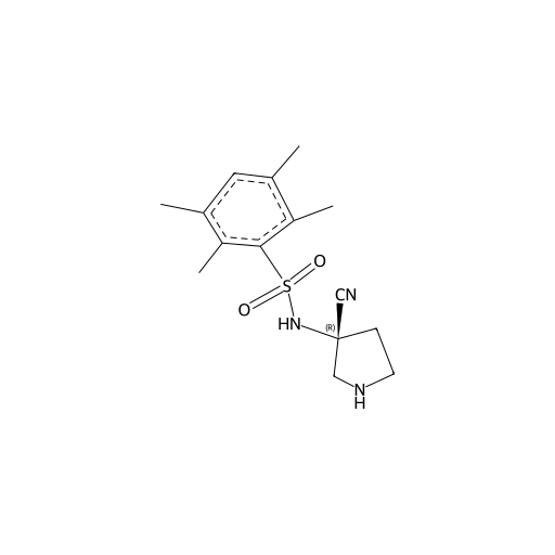 Cc1cc(C)c(C)c(S(=O)(=O)N[C@]2(C#N)CCNC2)c1C